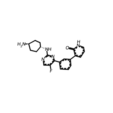 N[C@H]1CC[C@H](Nc2ncc(F)c(-c3cccc(-c4ccc[nH]c4=O)c3)n2)CC1